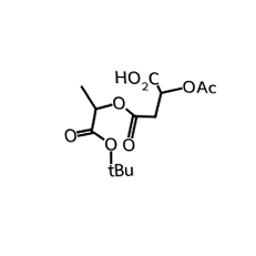 CC(=O)OC(CC(=O)OC(C)C(=O)OC(C)(C)C)C(=O)O